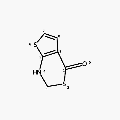 O=C1SCNc2sccc21